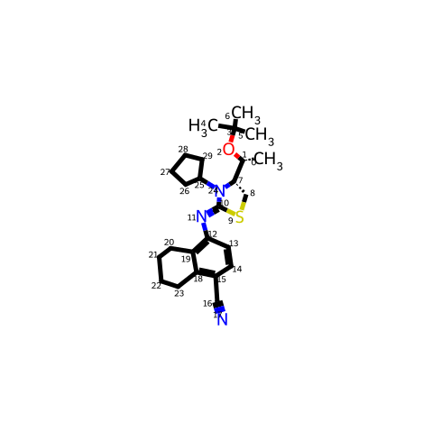 C[C@@H](OC(C)(C)C)[C@@H]1CS/C(=N\c2ccc(C#N)c3c2CCCC3)N1C1CCCC1